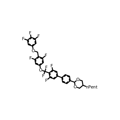 CCCCCC1COC(c2ccc(-c3cc(F)c(C(F)(F)Oc4cc(F)c(COc5cc(F)c(F)c(F)c5)c(F)c4)c(F)c3)cc2)OC1